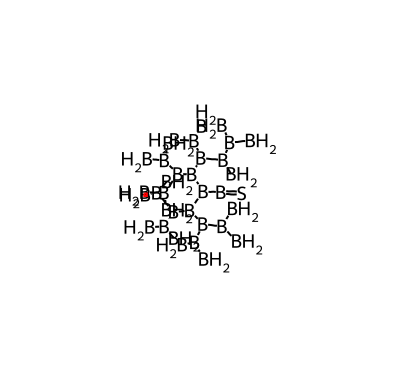 BB(B)B(B)B(B(B)B)B(B(B=S)B(B(B(B)B)B(B)B)B(B(B)B)B(B)B)B(B(B)B)B(B)B